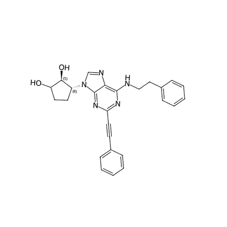 OC1CC[C@@H](n2cnc3c(NCCc4ccccc4)nc(C#Cc4ccccc4)nc32)[C@@H]1O